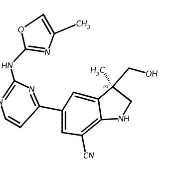 Cc1coc(Nc2nccc(-c3cc(C#N)c4c(c3)[C@@](C)(CO)CN4)n2)n1